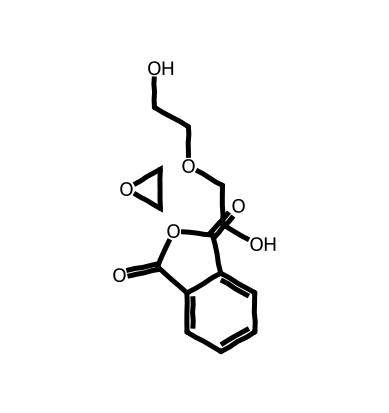 C1CO1.O=C1OC(=O)c2ccccc21.OCCOCCO